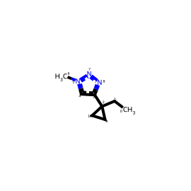 CCC1(c2cn(C)nn2)CC1